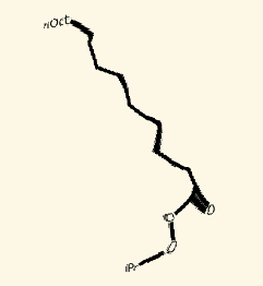 CCCCCCCCCCCCCCCC(=O)OOC(C)C